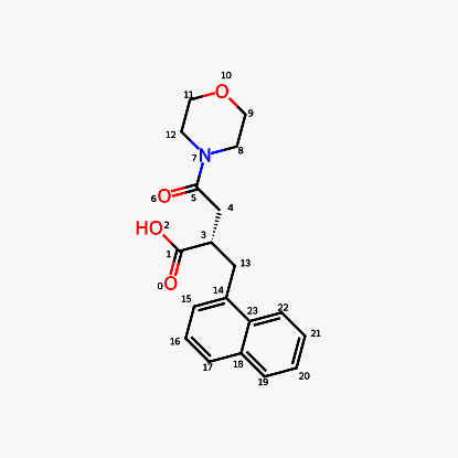 O=C(O)[C@H](CC(=O)N1CCOCC1)Cc1cccc2ccccc12